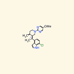 C=C1CCN(c2ncc(OC)cn2)C/C1=C(/C)c1ccc(Cl)c2[nH]ccc12